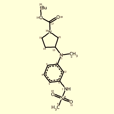 CN(c1cccc(NS(C)(=O)=O)c1)C1CCN(C(=O)OC(C)(C)C)C1